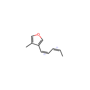 C/C=C\C=C/c1cocc1C